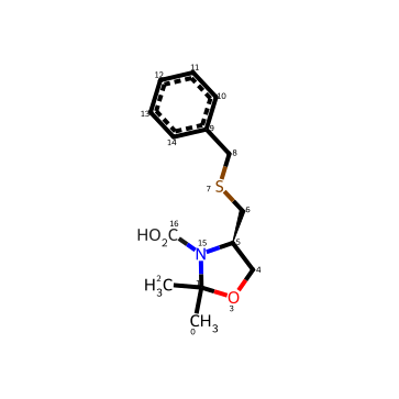 CC1(C)OC[C@H](CSCc2ccccc2)N1C(=O)O